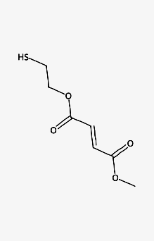 COC(=O)C=CC(=O)OCCS